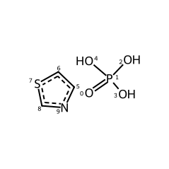 O=P(O)(O)O.c1cscn1